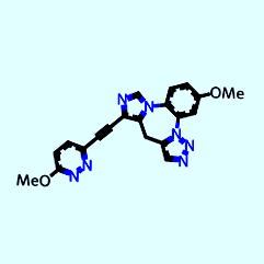 COc1ccc2c(c1)-n1nncc1Cc1c(C#Cc3ccc(OC)nn3)ncn1-2